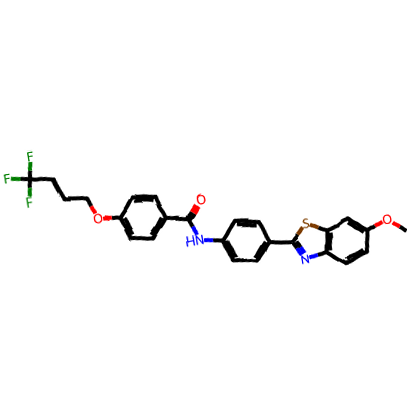 COc1ccc2nc(-c3ccc(NC(=O)c4ccc(OCCCC(F)(F)F)cc4)cc3)sc2c1